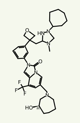 CN1CN(C2CCCCCC2)NC1CC1(c2cccc(-n3cc4c(C(F)(F)F)cc(CN5CCCC[C@@H](O)C5)cn4c3=O)c2)COC1